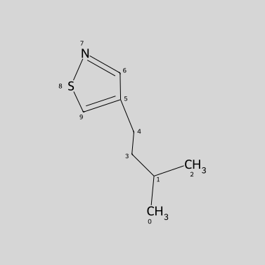 CC(C)CCc1cnsc1